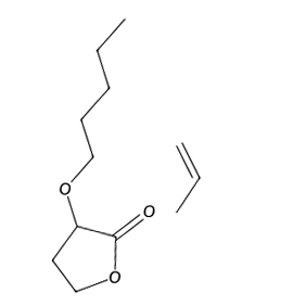 C=CC.CCCCCOC1CCOC1=O